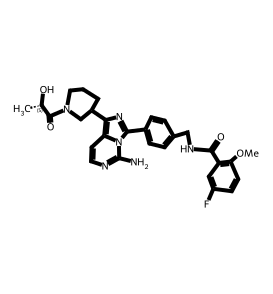 COc1ccc(F)cc1C(=O)NCc1ccc(-c2nc(C3CCCN(C(=O)[C@H](C)O)C3)c3ccnc(N)n23)cc1